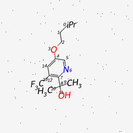 CC(C)CCOc1cnc(C(C)(C)O)c(C(F)(F)F)c1